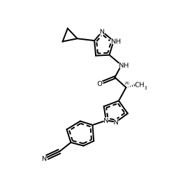 C[C@@H](C(=O)Nc1cc(C2CC2)n[nH]1)c1cnn(-c2ccc(C#N)cc2)c1